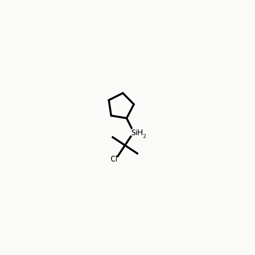 CC(C)(Cl)[SiH2]C1CCCC1